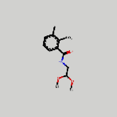 CCOC(CNC(=O)c1cccc(C)c1[N+](=O)[O-])OCC